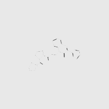 O=C(C1CCCN1C(=O)CCn1c(=O)c(-c2ccccc2)nc2ccccc21)N1CCCC1